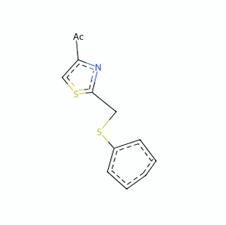 CC(=O)c1csc(CSc2ccccc2)n1